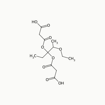 CCOC(C)C(CC)(OC(=O)CC(=O)O)OC(=O)CC(=O)O